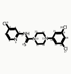 S=C(Nc1cc(Cl)ccn1)N1CCN(c2cc(Cl)cc(Cl)c2)CC1